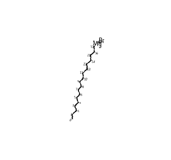 CCCCCCCCCCCCCCCCC[CH2][Mg][Br]